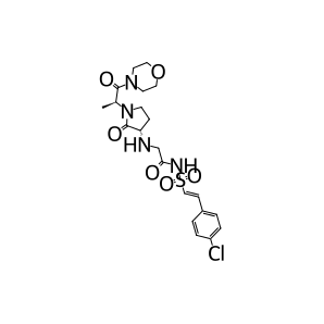 C[C@@H](C(=O)N1CCOCC1)N1CC[C@H](NCC(=O)NS(=O)(=O)/C=C/c2ccc(Cl)cc2)C1=O